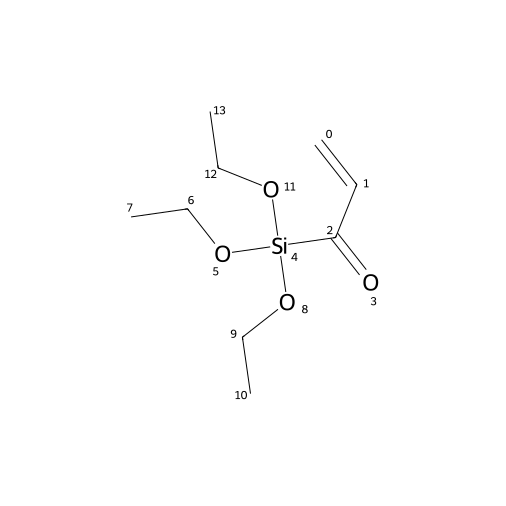 C=CC(=O)[Si](OCC)(OCC)OCC